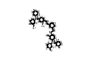 Cc1cccc(N(c2ccccc2)c2ccc(C=Cc3cccc(C=Cc4ccc(N(c5ccccc5)c5cccc(C)c5)cc4C)c3)c(C)c2)c1